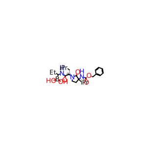 CCC(NC(=O)[C@H](CC(C)C)N1CCC(NC(=O)OCc2ccccc2)(C(C)C)C1=O)B(O)O